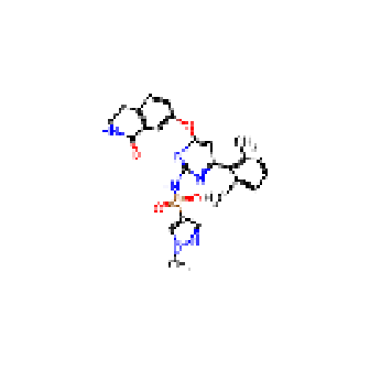 Cc1cccc(C)c1-c1cc(Oc2ccc3c(c2)C(=O)NCC3)nc(NS(=O)(=O)c2cnn(C)c2)n1